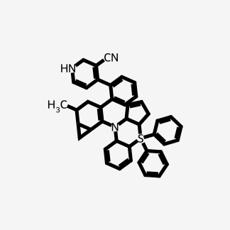 CC1CC(c2ccccc2C2=C(C#N)CNC=C2)=C(N2C3C=CC=CC3S(c3ccccc3)(c3ccccc3)C3CC=CC32)C2CC12